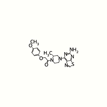 COc1ccc(OCC(=O)N2CCN(c3nc(N)nc4scnc34)CC2C)cc1